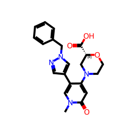 Cn1cc(-c2cnn(Cc3ccccc3)c2)c(N2CCO[C@@H](C(=O)O)C2)cc1=O